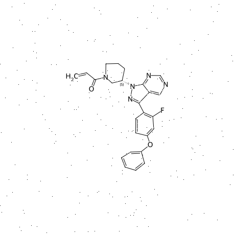 C=CC(=O)N1CCC[C@H](n2nc(-c3ccc(Oc4ccccc4)cc3F)c3cncnc32)C1